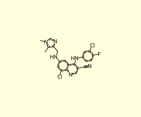 Cc1c(CNc2cc(Cl)c3ncc(C#N)c(Nc4ccc(F)c(Cl)c4)c3c2)ncn1C